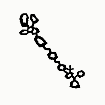 CC1(C)c2cc(/C=C/c3ccc(/C=C/c4ccc(-c5ccc6c(-c7ccccc7)c(-c7ccccc7)c7ccccc7c6c5)cc4)cc3)ccc2-c2ccc(N(c3ccccc3)C3C=CC=CC3)cc21